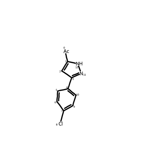 CC(=O)c1cc(-c2ccc(Cl)cc2)n[nH]1